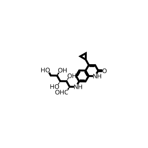 O=C[C@H](Nc1ccc2c(C3CC3)cc(=O)[nH]c2c1)[C@@H](O)[C@H](O)[C@H](O)CO